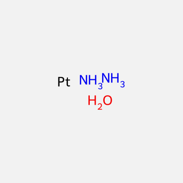 N.N.O.[Pt]